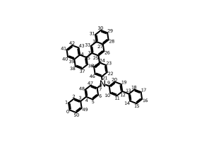 c1ccc(-c2ccc(N(c3ccc(-c4ccccc4)cc3)c3ccc(-c4cc5ccccc5cc4-c4cccc5ccccc45)cc3)cc2)cc1